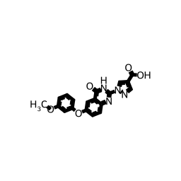 COc1cccc(Oc2ccc3nc(-n4cc(C(=O)O)cn4)[nH]c(=O)c3c2)c1